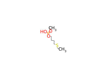 CCSCCCCOP(O)OC